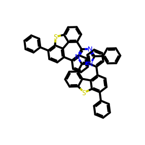 c1ccc(-c2nc(-c3cccc4sc5c(-c6ccccc6)ccc(-c6ccccc6)c5c34)nc(-c3cccc4sc5c(-c6ccccc6)ccc(-c6ccccc6)c5c34)n2)cc1